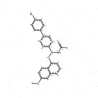 COc1ccc2c(ON(NC(C)=O)c3ncc(-c4ccc(Br)cc4)nn3)ccnc2c1